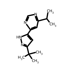 CC(C)c1cc(-c2cc(C(C)(C)C)n[nH]2)ncn1